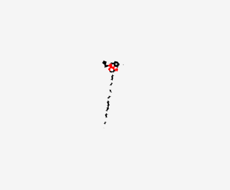 COCCOCCOCCOCCOCCOCCOCCOCCOC1CC[C@@]2(O)[C@H]3Cc4ccc(O)c5c4[C@@]2(CCN3CC2CCC2)[C@H]1O5